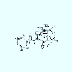 CC(C)(C)OC(=O)C(COc1ccccc1)O[Si](C)(C)C(C)(C)C